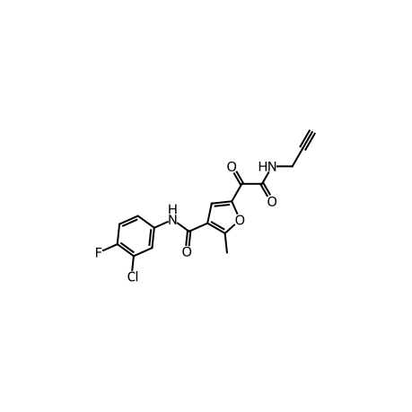 C#CCNC(=O)C(=O)c1cc(C(=O)Nc2ccc(F)c(Cl)c2)c(C)o1